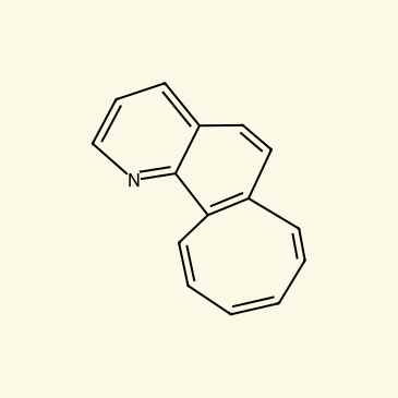 C1=CC=Cc2c(ccc3cccnc23)C=C1